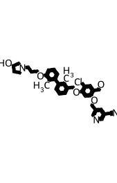 Cc1c(COc2cc(OCc3cncc(C#N)c3)c(C=O)cc2Cl)cccc1-c1cccc(OCCCN2CC[C@@H](O)C2)c1C